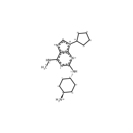 CNc1nc(N[C@H]2CC[C@H](N)CC2)nc2c1ncn2C1CCCC1